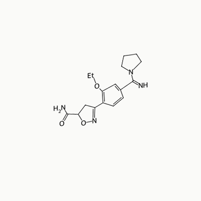 CCOc1cc(C(=N)N2CCCC2)ccc1C1=NOC(C(N)=O)C1